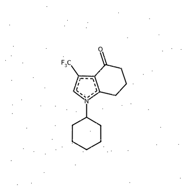 O=C1CCCc2c1c(C(F)(F)F)cn2C1CCCCC1